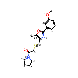 COc1cccc(-c2nc(CSCC(=O)N3CCCC3)c(C)o2)c1